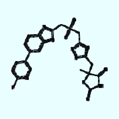 CC1(Cc2nnc(CS(=O)(=O)Cc3nc4ccc(-c5ccc(F)nc5)cc4s3)o2)SC(=O)NC1=O